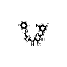 CCC(NC(=O)Cc1cc(F)cc(F)c1)C(=O)Nc1nnc(COc2ccccc2)s1